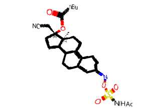 CCCCC(=O)O[C@@]1(CC#N)CCC2C3CCC4=CC(=NOS(=O)(=O)NC(C)=O)CCC4=C3CC[C@@]21C